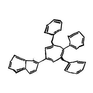 [c]1c(-c2[c]c3ccccc3cc2)cc(-c2ccccc2)c(-c2ccccc2)c1-c1ccccc1